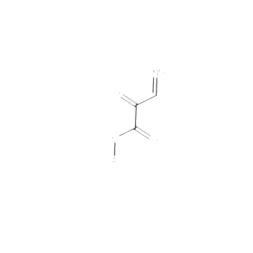 CC(=O)OC(=O)C(=O)C=N